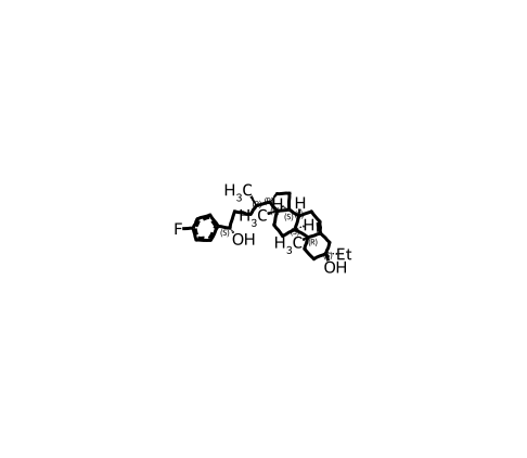 CC[C@]1(O)CC[C@@]2(C)C(=CC[C@H]3[C@@H]4CC[C@H]([C@H](C)CC[C@H](O)c5ccc(F)cc5)[C@@]4(C)CC[C@@H]32)C1